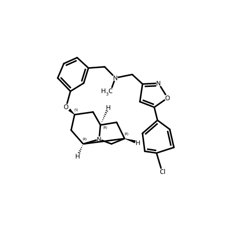 CN(Cc1cccc(O[C@H]2C[C@H]3C[C@@H]4CN3[C@@H]4C2)c1)Cc1cc(-c2ccc(Cl)cc2)on1